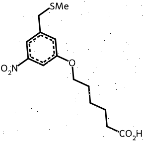 CSCc1cc(OCCCCCC(=O)O)cc([N+](=O)[O-])c1